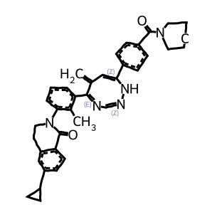 C=C1/C=C(/c2ccc(C(=O)N3CCCCC3)cc2)N/N=C\N=C/1c1cccc(N2CCc3cc(C4CC4)ccc3C2=O)c1C